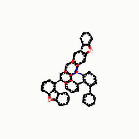 c1ccc(-c2ccccc2-c2c(-c3ccccc3)cccc2N(c2ccc(-c3cccc4oc5ccccc5c34)cc2)c2ccc3c(c2)oc2ccccc23)cc1